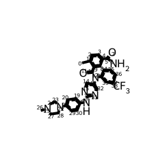 Cc1ccc(C(N)=O)cc1C(=O)N(c1cnc(Nc2ccc(N3CCN(C)CC3)cc2)nc1)c1cccc(C(F)(F)F)c1